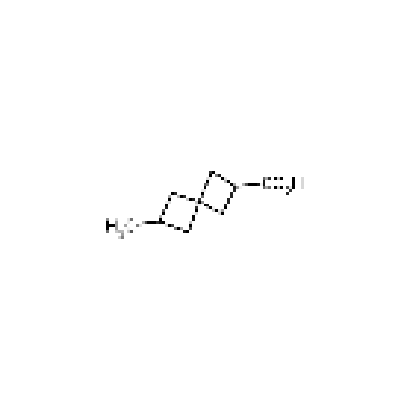 CC1CC2(C1)CC(C(=O)O)C2